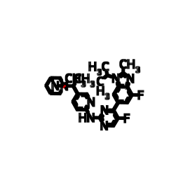 CCN1C2CC1CN(C(C)c1ccc(Nc3ncc(F)c(-c4cc(F)c5nc(C)n(C(C)C)c5c4)n3)nc1)C2